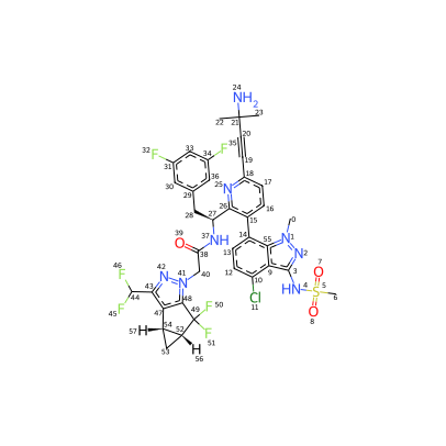 Cn1nc(NS(C)(=O)=O)c2c(Cl)ccc(-c3ccc(C#CC(C)(C)N)nc3[C@H](Cc3cc(F)cc(F)c3)NC(=O)Cn3nc(C(F)F)c4c3C(F)(F)[C@@H]3C[C@H]43)c21